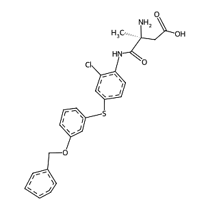 C[C@](N)(CC(=O)O)C(=O)Nc1ccc(Sc2cccc(OCc3ccccc3)c2)cc1Cl